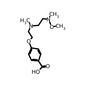 CON(C)CCN(C)CCOc1ccc(C(=O)O)cc1